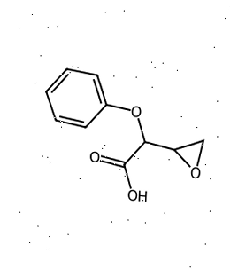 O=C(O)C(Oc1ccccc1)C1CO1